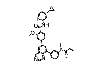 C=CC(=O)Nc1cccc(-c2cc(-c3ccc(C(=O)Nc4cc(C5CC5)ccn4)c(OC)c3)cc3cncnc23)c1